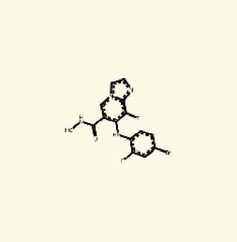 O=C(NO)c1cn2ccnc2c(F)c1Nc1ccc(Br)cc1F